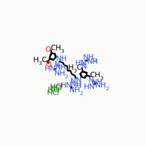 CC(=O)c1cc(NC(CCCCCCCC(=NNC(=N)N)Nc2cc(C(C)=NNC(=N)N)cc(C(C)=NNC(=N)N)c2)=NNC(=N)N)cc(C(C)=O)c1.Cl.Cl.Cl.Cl